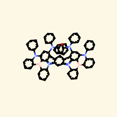 c1ccc(N2c3ccccc3B3c4ccccc4-n4c5cc6c(cc5c5c(N(c7ccccc7)c7ccccc7)cc2c3c54)c2c(N(c3ccccc3)c3ccccc3)cc3c4c2n6-c2ccccc2B4c2ccccc2N3c2ccccc2)cc1